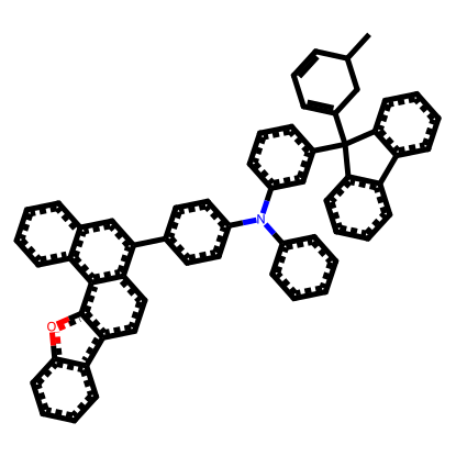 CC1C=CC=C(C2(c3cccc(N(c4ccccc4)c4ccc(-c5cc6ccccc6c6c5ccc5c7ccccc7oc56)cc4)c3)c3ccccc3-c3ccccc32)C1